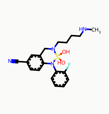 CNCCCCN1Cc2cc(C#N)ccc2N(c2ccccc2F)S1(O)O